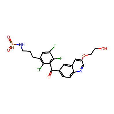 O=C(c1ccc2ncc(OCCO)cc2c1)c1c(F)c(F)cc(CCCN[SH](=O)=O)c1Cl